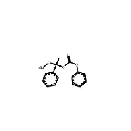 CCCCOC(C)(OC(=O)Oc1ccccc1)c1ccccc1